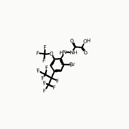 O=C(O)C(=O)NNc1c(Br)cc(C(F)(C(F)(F)F)C(F)(F)F)cc1OC(F)(F)F